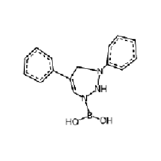 OB(O)N1C=C(c2ccccc2)CN(c2ccccc2)N1